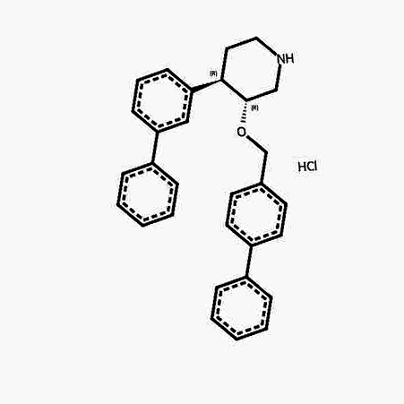 Cl.c1ccc(-c2ccc(CO[C@H]3CNCC[C@@H]3c3cccc(-c4ccccc4)c3)cc2)cc1